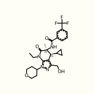 CCN1C(=O)[C@@](C)(NC(=O)c2cccc(C(F)(F)F)c2)[C@@H](C2CC2)c2c(CO)nn(C3CCOCC3)c21